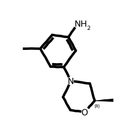 Cc1cc(N)cc(N2CCO[C@H](C)C2)c1